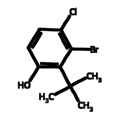 CC(C)(C)c1c(O)ccc(Cl)c1Br